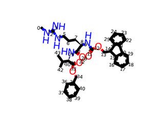 CNC(=N)NCCC[C@@H](NC(=O)OCC1c2ccccc2-c2ccccc21)C(=O)N[C@H](C(=O)OCc1ccccc1)C(C)C